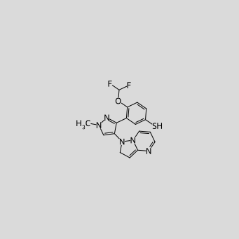 Cn1cc(N2CC=C3N=CC=CN32)c(-c2cc(S)ccc2OC(F)F)n1